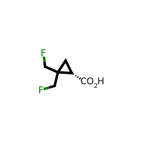 O=C(O)[C@H]1CC1(CF)CF